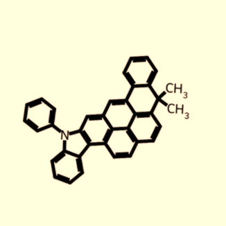 CC1(C)c2ccccc2-c2cc3cc4c(c5ccc6ccc1c2c6c35)c1ccccc1n4-c1ccccc1